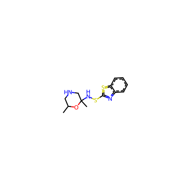 CC1CNCC(C)(NSc2nc3ccccc3s2)O1